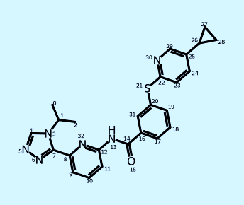 CC(C)n1cnnc1-c1cccc(NC(=O)c2cccc(Sc3ccc(C4CC4)cn3)c2)n1